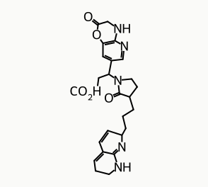 O=C(O)CC(c1cnc2c(c1)OC(=O)CN2)N1CCC(CCCC2C=CC3=CCCNC3=N2)C1=O